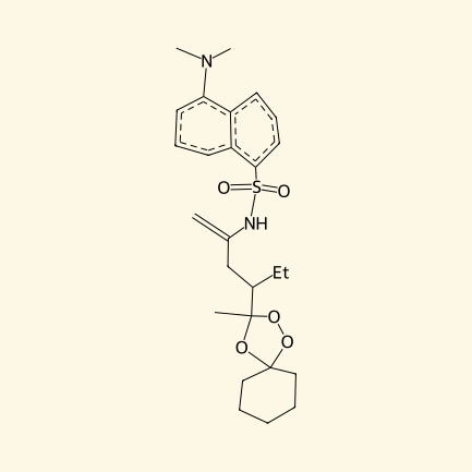 C=C(CC(CC)C1(C)OOC2(CCCCC2)O1)NS(=O)(=O)c1cccc2c(N(C)C)cccc12